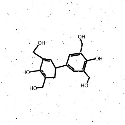 OCC1=CC(c2cc(CO)c(O)c(CO)c2)CC(CO)=C1O